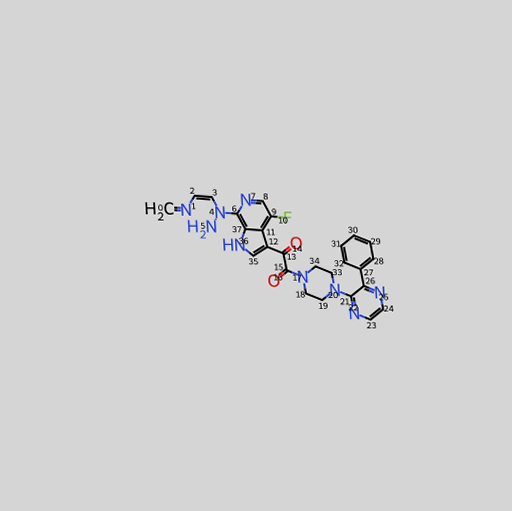 C=N/C=C\N(N)c1ncc(F)c2c(C(=O)C(=O)N3CCN(c4nccnc4-c4ccccc4)CC3)c[nH]c12